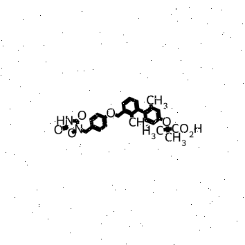 Cc1cc(OC(C)(C)C(=O)O)ccc1-c1cccc(COc2ccc(Cn3oc(=O)[nH]c3=O)cc2)c1C